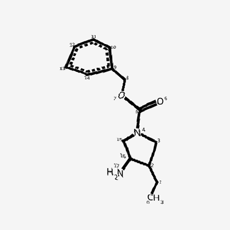 CCC1CN(C(=O)OCc2ccccc2)CC1N